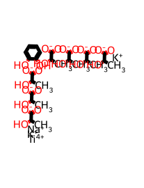 CC(O)C(=O)[O-].CC(O)C(=O)[O-].CC(O)C(=O)[O-].CC(O)C(=O)[O-].CC(O)C(=O)[O-].CC(O)C(=O)[O-].CC(O)C(=O)[O-].Oc1ccccc1O.[K+].[K+].[Na+].[Ti+4]